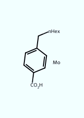 CCCCCCCc1ccc(C(=O)O)cc1.[Mo]